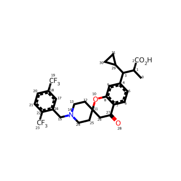 CC(C(=O)O)C(c1ccc2c(c1)OC1(CCN(Cc3cc(C(F)(F)F)ccc3C(F)(F)F)CC1)CC2=O)C1CC1